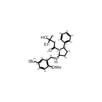 CCC(C)(O)CC(=O)N1C(NCc2cc(C(C)(C)C)ccc2OC)CCC1c1ccccc1